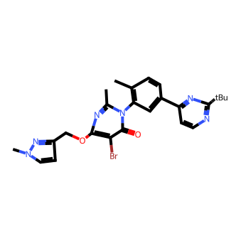 Cc1ccc(-c2ccnc(C(C)(C)C)n2)cc1-n1c(C)nc(OCc2ccn(C)n2)c(Br)c1=O